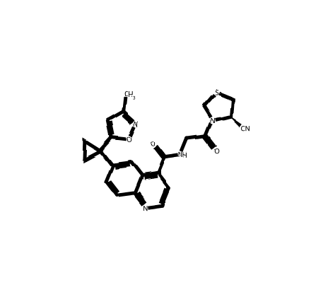 Cc1cc(C2(c3ccc4nccc(C(=O)NCC(=O)N5CSC[C@H]5C#N)c4c3)CC2)on1